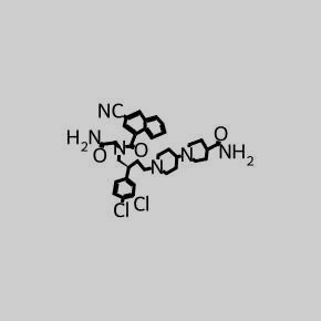 N#Cc1cc(C(=O)N(CC(N)=O)C[C@@H](CCN2CCC(N3CCC(C(N)=O)CC3)CC2)c2ccc(Cl)c(Cl)c2)c2ccccc2c1